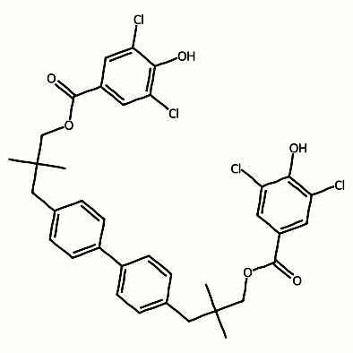 CC(C)(COC(=O)c1cc(Cl)c(O)c(Cl)c1)Cc1ccc(-c2ccc(CC(C)(C)COC(=O)c3cc(Cl)c(O)c(Cl)c3)cc2)cc1